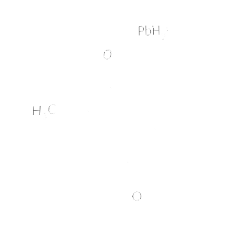 CC1=CC(=O)c2ccccc2C1=O.[PbH2]